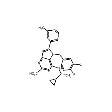 Cc1cccc(-c2nc3nc(C(=O)O)nc(N[C@H](C)C4CC4)c3n2Cc2ccc(F)c(Cl)c2)c1